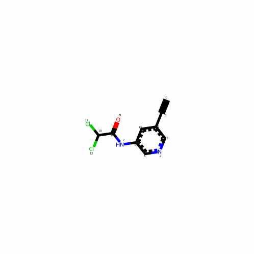 C#Cc1cncc(NC(=O)C(Cl)Cl)c1